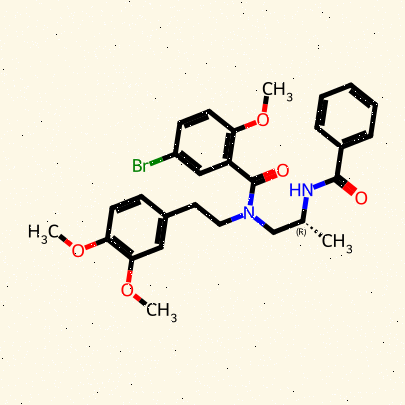 COc1ccc(CCN(C[C@@H](C)NC(=O)c2ccccc2)C(=O)c2cc(Br)ccc2OC)cc1OC